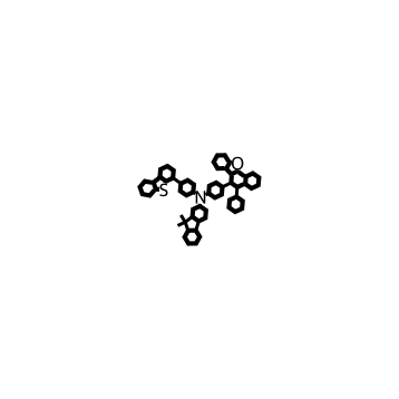 CC1(C)c2ccccc2-c2ccc(N(c3ccc(-c4cccc5c4sc4ccccc45)cc3)c3ccc(-c4c(-c5ccccc5)c5ccccc5c5oc6ccccc6c45)cc3)cc21